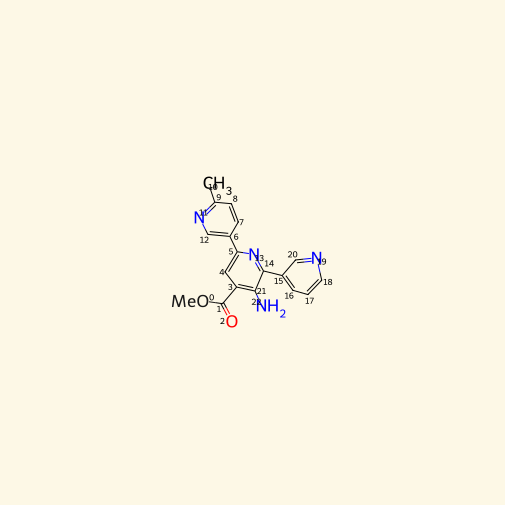 COC(=O)c1cc(-c2ccc(C)nc2)nc(-c2cccnc2)c1N